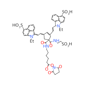 CCN1c2ccc(S(=O)(=O)O)c3cccc(c23)C1/C=C/C1=CC(=C/C=c2\c3cccc4c(S(=O)(=O)O)ccc(c43)n2CC)/CC(C(=O)NCCCCCC(=O)ON2C(=O)CCC2=O)(C(=O)NCCS(=O)(=O)O)C1